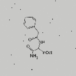 CCCCCCCCC(NC(=O)Cc1ccccc1)C(N)=O